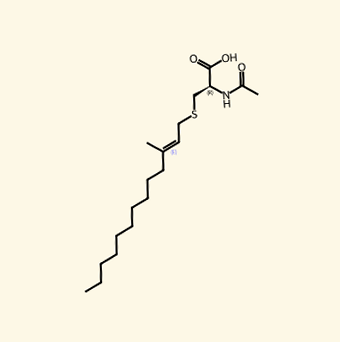 CCCCCCCCCC/C(C)=C/CSC[C@H](NC(C)=O)C(=O)O